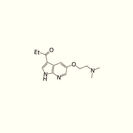 CCC(=O)c1c[nH]c2ncc(OCCN(C)C)cc12